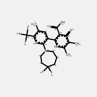 Cc1cc(-c2[nH]c(C)c(C)c(=O)c2C(=O)O)c(N2CCCC(F)(F)CC2)nc1C(F)(F)F